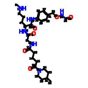 CNCCCC(NC(=O)CNC(=O)CCCC(=O)N1CCC(C)CC1)C(=O)Nc1ccc(CONC=O)cc1